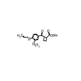 C=CCOc1ccc(C(=O)N2CCC2C(=O)OC)cc1OC(F)(F)F